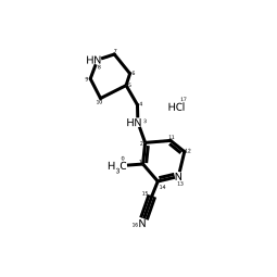 Cc1c(NCC2CCNCC2)ccnc1C#N.Cl